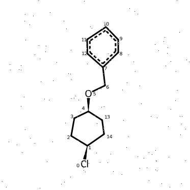 Cl[C@H]1CC[C@@H](OCc2ccccc2)CC1